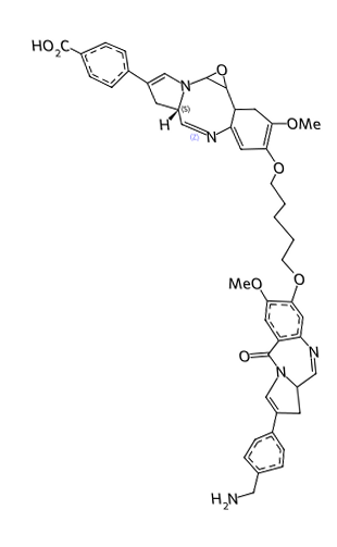 COC1=C(OCCCCCOc2cc3c(cc2OC)C(=O)N2C=C(c4ccc(CN)cc4)CC2C=N3)C=C2/N=C\[C@@H]3CC(c4ccc(C(=O)O)cc4)=CN3C3OC3C2C1